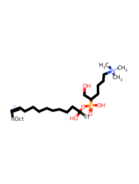 CCCCCCCC/C=C\CCCCCCCCC(O)(CC)OP(=O)(O)C(CO)CCCC[N+](C)(C)C